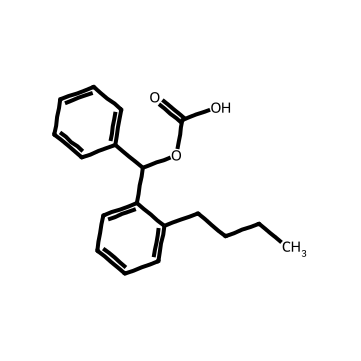 CCCCc1ccccc1C(OC(=O)O)c1ccccc1